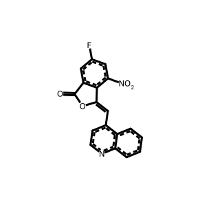 O=C1O/C(=C\c2ccnc3ccccc23)c2c1cc(F)cc2[N+](=O)[O-]